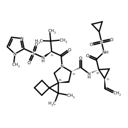 C=C[C@@H]1C[C@]1(NC(=O)[C@@H]1C[C@@]2(CN1C(=O)[C@@H](NS(=O)(=O)c1nccn1C)C(C)(C)C)C(C)(C)C21CCC1)C(=O)NS(=O)(=O)C1CC1